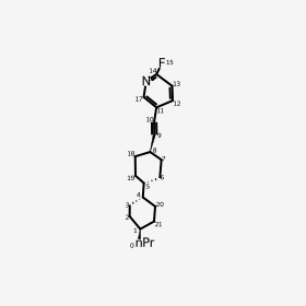 CCC[C@H]1CC[C@H]([C@H]2CC[C@H](C#Cc3ccc(F)nc3)CC2)CC1